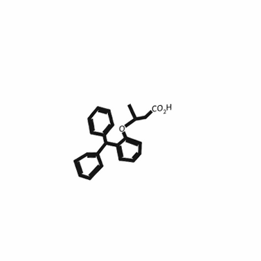 CC(CC(=O)O)Oc1ccccc1C(c1ccccc1)c1ccccc1